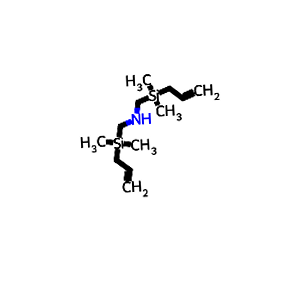 C=CC[Si](C)(C)CNC[Si](C)(C)CC=C